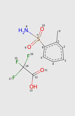 Cc1ccccc1S(N)(=O)=O.O=C(O)C(F)(F)F